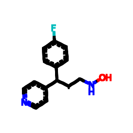 ONC[CH]C(c1ccncc1)c1ccc(F)cc1